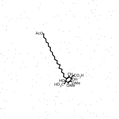 COC1=C(OC)C(O)(CC(=O)O)C(CCCCCCCCCCCCCCCCCCCCOC(C)=O)=C(C)C1(O)CC(=O)O